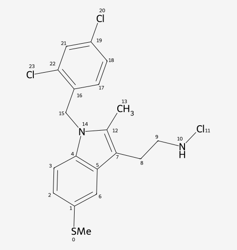 CSc1ccc2c(c1)c(CCNCl)c(C)n2Cc1ccc(Cl)cc1Cl